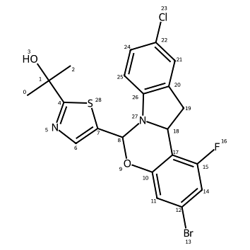 CC(C)(O)c1ncc(C2Oc3cc(Br)cc(F)c3C3Cc4cc(Cl)ccc4N32)s1